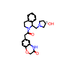 O=C1COc2ccc(CC(=O)N3CCc4ccccc4C3CN3CC[C@H](O)C3)cc2N1